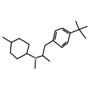 CC1CCC(N(C)C(C)Cc2ccc(C(C)(C)C)cc2)CC1